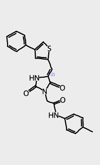 Cc1ccc(NC(=O)CN2C(=O)N/C(=C\c3cc(-c4ccccc4)cs3)C2=O)cc1